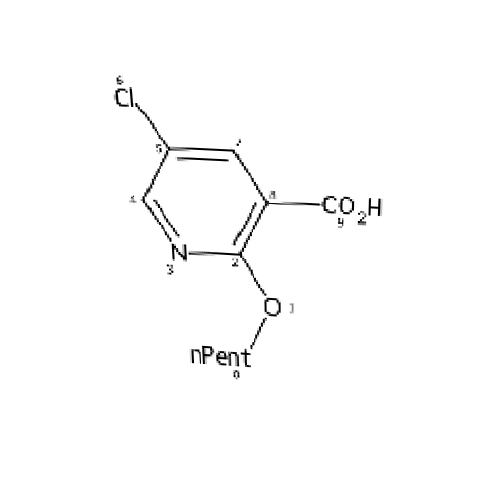 CCCCCOc1ncc(Cl)cc1C(=O)O